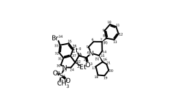 CC[C@@H](C(=O)N1CC[C@@H](c2ccccc2)C[C@H]1C1CCCCC1)[C@]1(CC)CN(S(C)(=O)=O)Cc2cc(Br)ccc21